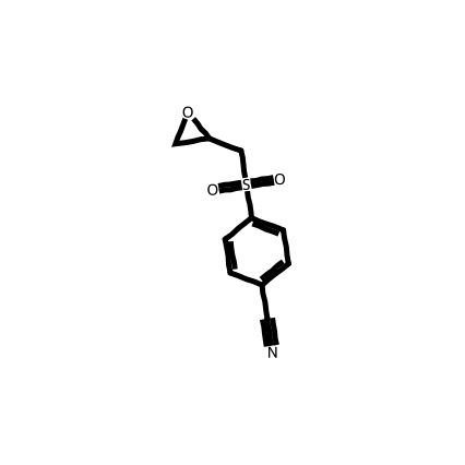 N#Cc1ccc(S(=O)(=O)CC2CO2)cc1